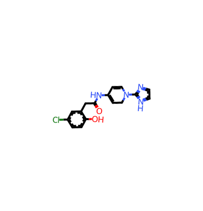 O=C(Cc1cc(Cl)ccc1O)NC1=CCN(c2ncc[nH]2)C=C1